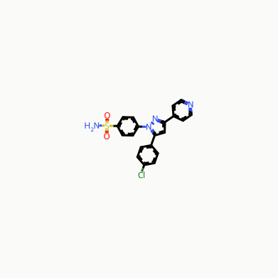 NS(=O)(=O)c1ccc(-n2nc(-c3ccncc3)cc2-c2ccc(Cl)cc2)cc1